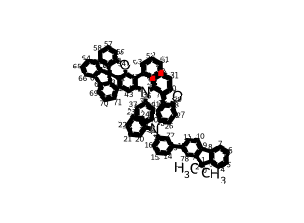 CC1(C)c2ccccc2-c2ccc(-c3cccc(N(c4ccccc4)c4ccc5oc6cccc(N(c7ccccc7)c7ccc8c(c7-c7ccccc7)Oc7ccccc7C87c8ccccc8-c8ccccc87)c6c5c4)c3)cc21